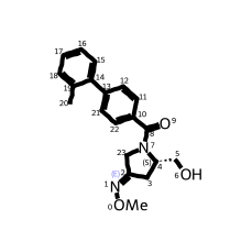 CO/N=C1\C[C@@H](CO)N(C(=O)c2ccc(-c3ccccc3C)cc2)C1